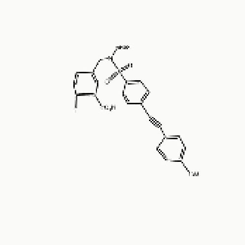 CCCCCCN(Cc1ccc(F)c(C(=O)O)c1)S(=O)(=O)c1ccc(C#Cc2ccc(CCCC)cc2)cc1